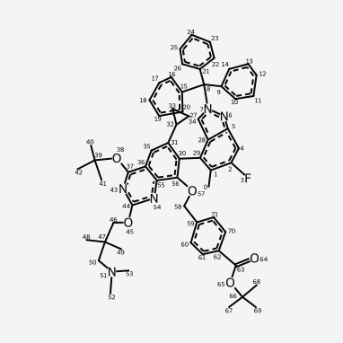 Cc1c(F)cc2nn(C(c3ccccc3)(c3ccccc3)c3ccccc3)cc2c1-c1c(C2CC2)cc2c(OC(C)(C)C)nc(OCC(C)(C)CN(C)C)nc2c1OCc1ccc(C(=O)OC(C)(C)C)cc1